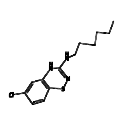 CCCCCCNC1=NSc2ccc(Cl)cc2N1